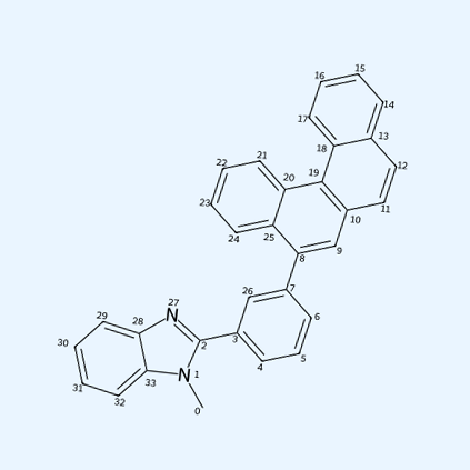 Cn1c(-c2cccc(-c3cc4ccc5ccccc5c4c4ccccc34)c2)nc2ccccc21